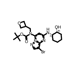 CC(C)(C)OC(=O)N(CC1COC1)c1cc(N[C@H]2CCCC[C@H]2O)nc2c(Br)cnn12